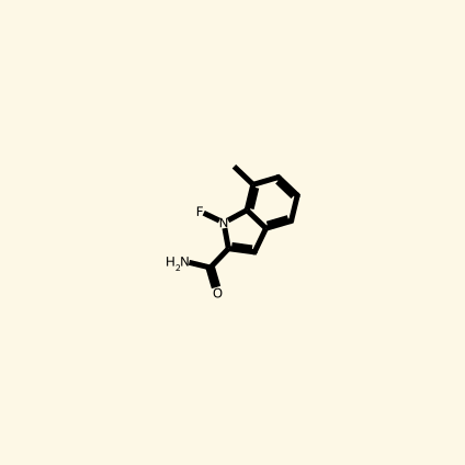 Cc1cccc2cc(C(N)=O)n(F)c12